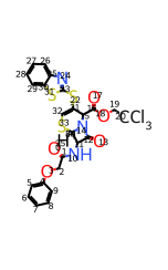 O=C(COc1ccccc1)NC1C(=O)N2C(C(=O)OCC(Cl)(Cl)Cl)C(Sc3nc4ccccc4s3)=CS[C@H]12